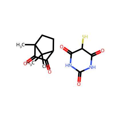 CC12CCC(C(=O)C1=O)C2(C)C.O=C1NC(=O)C(S)C(=O)N1